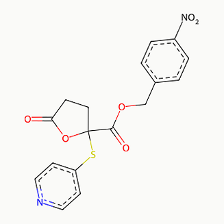 O=C1CCC(Sc2ccncc2)(C(=O)OCc2ccc([N+](=O)[O-])cc2)O1